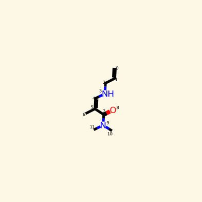 C=CCNC=C(C)C(=O)N(C)C